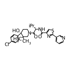 CC(C)[C@@H](NC(=O)c1csc(-c2cccnc2)n1)C(=O)N1CC[C@](O)(c2ccc(Cl)cc2)C(C)(C)C1